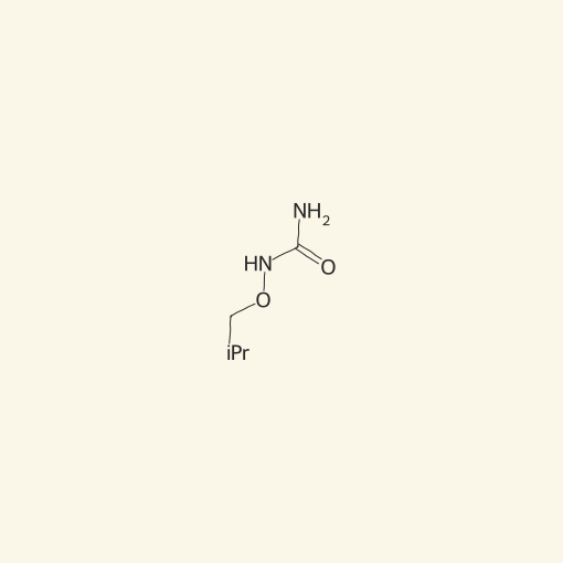 CC(C)CONC(N)=O